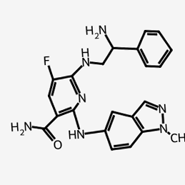 Cn1ncc2cc(Nc3nc(NCC(N)c4ccccc4)c(F)cc3C(N)=O)ccc21